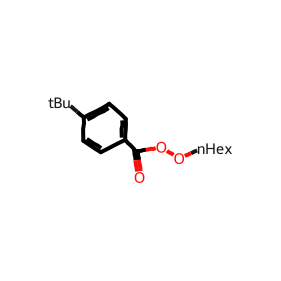 [CH2]CCCCCOOC(=O)c1ccc(C(C)(C)C)cc1